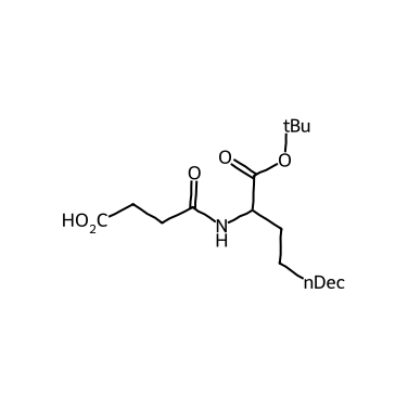 CCCCCCCCCCCCC(NC(=O)CCC(=O)O)C(=O)OC(C)(C)C